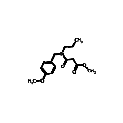 CCCN(Cc1ccc(OC)cc1)C(=O)CC(=O)OC